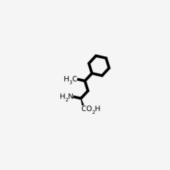 CC(C[C@H](N)C(=O)O)C1CCCCC1